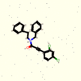 O=C(C#Cc1ccc(Cl)cc1Cl)N(CCc1ccccc1)Cc1ccccc1